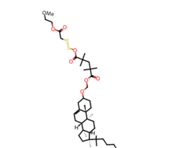 COCCOC(=O)CSSOC(=O)C(C)(C)CC(C)(C)C(=O)OCOC1CC[C@@]2(C)C(=CC[C@H]3[C@]4(C)CC[C@](C)(C(C)(C)CCCC(C)C)[C@H]4CC[C@@]32C)C1